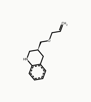 C=CCOC[C@@H]1CNc2ccccc2C1